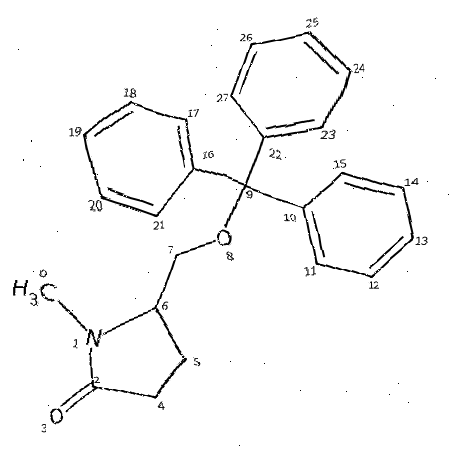 CN1C(=O)CCC1COC(c1ccccc1)(c1ccccc1)c1ccccc1